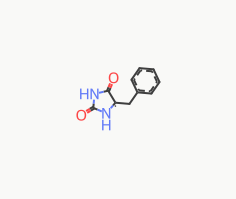 O=C1N[C](Cc2ccccc2)C(=O)N1